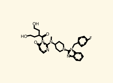 CN(c1nccc(=O)n1C(=O)C(CCO)CCO)C1CCN(c2nc3ccccc3n2Cc2ccc(F)cc2)CC1